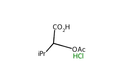 CC(=O)OC(C(=O)O)C(C)C.Cl